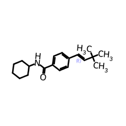 CC(C)(C)/C=C/c1ccc(C(=O)NC2CCCCC2)cc1